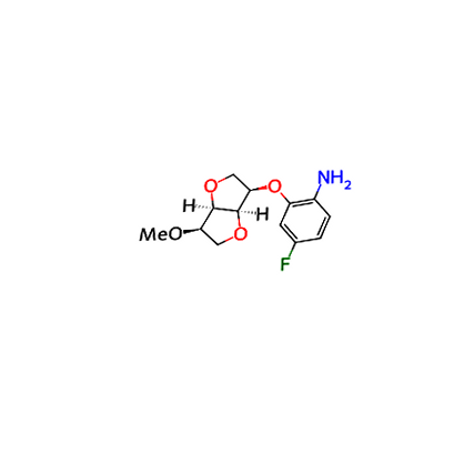 CO[C@@H]1CO[C@H]2[C@@H]1OC[C@H]2Oc1cc(F)ccc1N